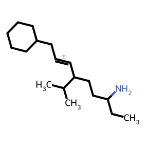 CCC(N)CCC(/C=C/CC1CCCCC1)C(C)C